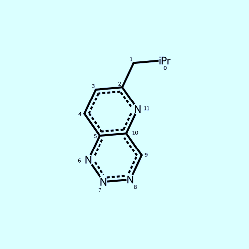 CC(C)Cc1ccc2nnncc2n1